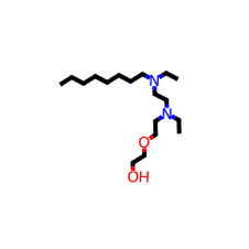 CCCCCCCCN(CC)CCN(CC)CCOCCO